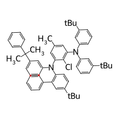 Cc1cc(N(c2cccc(C(C)(C)C)c2)c2cccc(C(C)(C)C)c2)c(Cl)c(N(c2cccc(C(C)(C)c3ccccc3)c2)c2ccc(C(C)(C)C)cc2-c2ccccc2)c1